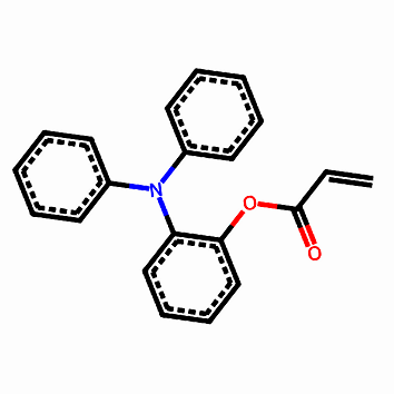 C=CC(=O)Oc1ccccc1N(c1ccccc1)c1ccccc1